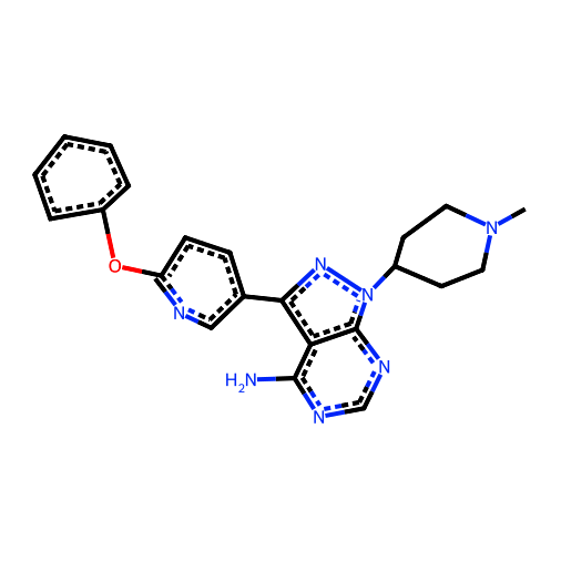 CN1CCC(n2nc(-c3ccc(Oc4ccccc4)nc3)c3c(N)ncnc32)CC1